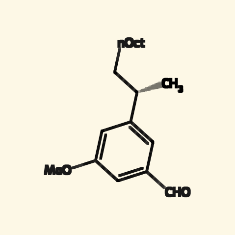 CCCCCCCCC[C@H](C)c1cc(C=O)cc(OC)c1